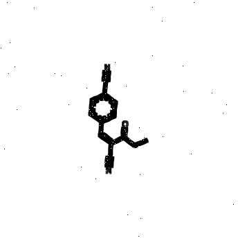 CCC(=O)/C(C#N)=C\c1ccc(C#N)cc1